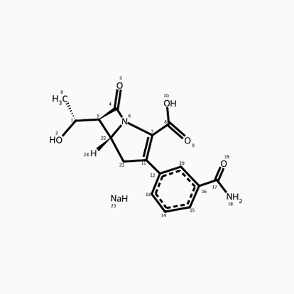 C[C@@H](O)[C@H]1C(=O)N2C(C(=O)O)=C(c3cccc(C(N)=O)c3)C[C@H]12.[NaH]